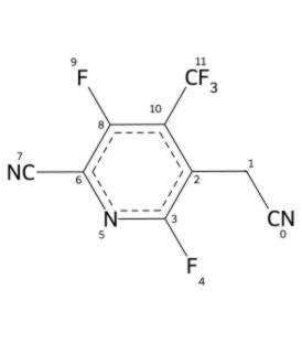 N#CCc1c(F)nc(C#N)c(F)c1C(F)(F)F